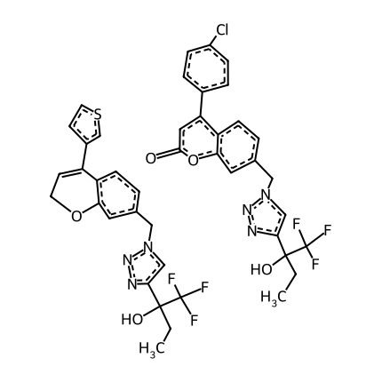 CCC(O)(c1cn(Cc2ccc3c(-c4ccc(Cl)cc4)cc(=O)oc3c2)nn1)C(F)(F)F.CCC(O)(c1cn(Cc2ccc3c(c2)OCC=C3c2ccsc2)nn1)C(F)(F)F